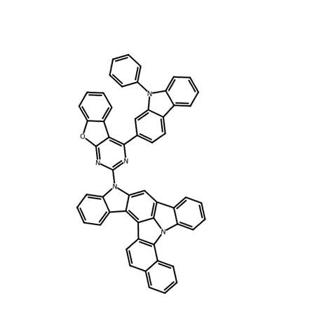 c1ccc(-n2c3ccccc3c3ccc(-c4nc(-n5c6ccccc6c6c7c8ccc9ccccc9c8n8c9ccccc9c(cc65)c78)nc5oc6ccccc6c45)cc32)cc1